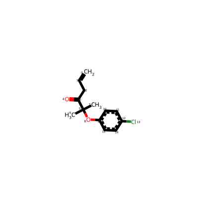 C=CCC(=O)C(C)(C)Oc1ccc(Cl)cc1